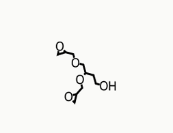 OCCC(COCC1CO1)OCC1CO1